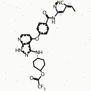 C=N/C(=C\C(C#N)=C/C)NC(=O)c1ccc(Oc2ccnc3[nH]nc(N[C@H]4CC[C@H](OC(=O)C(F)(F)F)CC4)c23)cc1